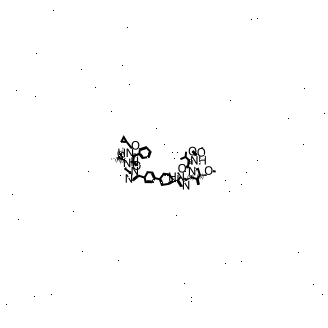 C=C1[C@H](COC)CN(C(=O)[C@@H](NC(=O)OC)C(C)C)[C@@H]1c1ncc(-c2ccc(C3=CCC(c4cnc(CN(C(=O)[C@H](NC(=O)C5CC5)c5ccccc5)[C@@H]5[C@H](C)[C@@H]5C)[nH]4)C=C3)cc2)[nH]1